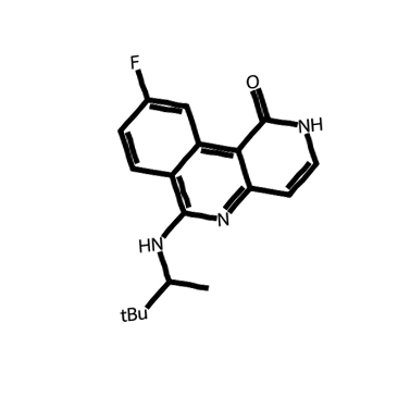 CC(Nc1nc2cc[nH]c(=O)c2c2cc(F)ccc12)C(C)(C)C